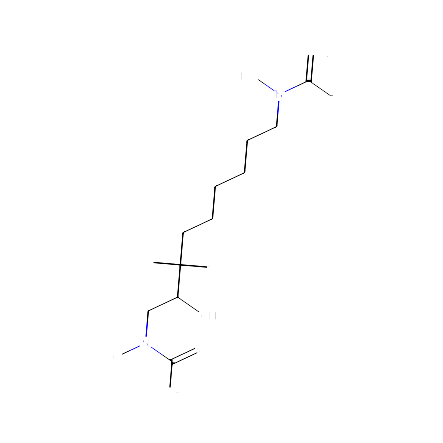 C=C(CC)N(C)CCCCCCC(C)(C)C(C)CN(C)C(=C)C(C)C